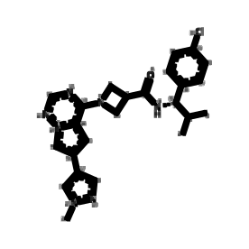 CC(C)[C@H](NC(=O)C1CN(c2ncnn3cc(-c4cnn(C)c4)cc23)C1)c1ccc(Cl)cc1